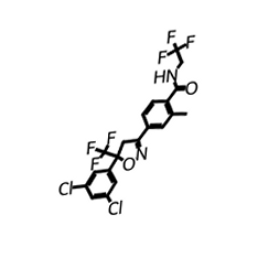 Cc1cc(C2=NOC(c3cc(Cl)cc(Cl)c3)(C(F)(F)F)C2)ccc1C(=O)NCC(F)(F)F